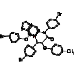 Cc1ccc(OC(C(=O)N(c2ccc(Br)cc2)c2ccccn2)C(C(=O)N(Oc2ccc(Br)cc2)c2nccs2)c2ccc(Br)cc2)cc1